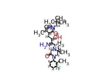 Cc1c(F)cccc1N1CC(C)(C)N(C[C@H](N)[C@@H](O)C[C@H](C(=O)NCC(C)(C)C)C(C)C)CC1=O